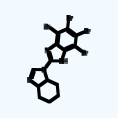 Brc1c(Br)c(Br)c2[nH]c(N3C=NC4CCCCC43)nc2c1Br